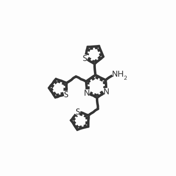 Nc1nc(Cc2cccs2)nc(Cc2cccs2)c1-c1cccs1